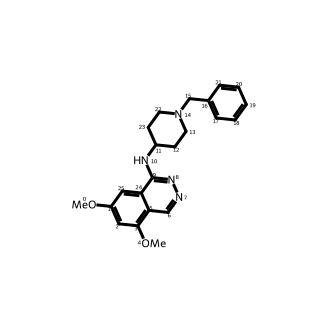 COc1cc(OC)c2cnnc(NC3CCN(Cc4ccccc4)CC3)c2c1